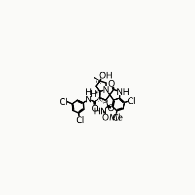 CONC(=O)[C@H]1[C@@H](C(=O)Nc2cc(Cl)cc(Cl)c2)[C@H]2C[C@](C)(O)CN2C12C(=O)Nc1c(Cl)cc(Cl)cc12